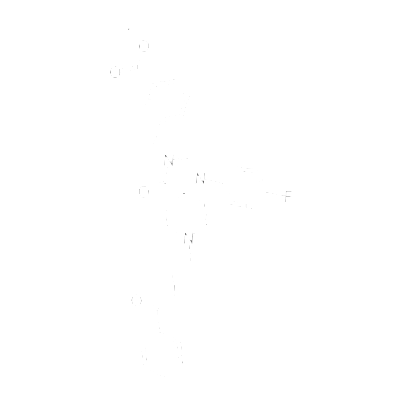 CC(C)(C)OC(=O)c1cccc(CN2CN(c3ccc(F)cc3)C3(CCN(CCCC(=O)c4ccccc4)CC3)C2=O)c1